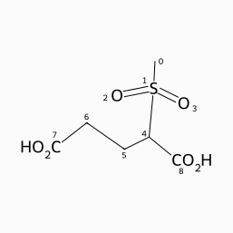 CS(=O)(=O)C(CCC(=O)O)C(=O)O